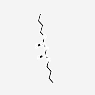 CCCC[O][Sn](=[S])[O][Sn](=[S])[O]CCCC